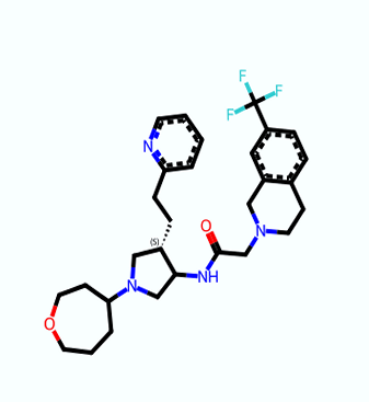 O=C(CN1CCc2ccc(C(F)(F)F)cc2C1)NC1CN(C2CCCOCC2)C[C@@H]1CCc1ccccn1